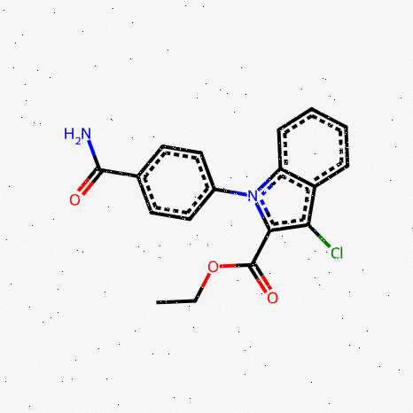 CCOC(=O)c1c(Cl)c2ccccc2n1-c1ccc(C(N)=O)cc1